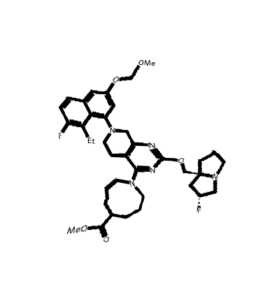 CCc1c(F)ccc2cc(OCOC)cc(N3CCc4c(nc(OC[C@@]56CCCN5C[C@H](F)C6)nc4N4CCCC(C(=O)OC)CCC4)C3)c12